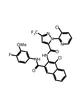 COc1cc(NC(=O)c2cc3ccccc3c(Cl)c2NC(=O)c2cc(C(F)(F)F)nn2-c2ncccc2Cl)ccc1F